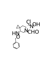 O=CN1C[C@H](NOCc2ccccc2)C2(CC2)C[C@@H]1/C(Cl)=N/O